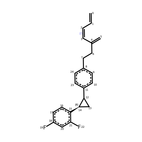 C=C/C=C\C(=C)CCc1ccc(C2C[C@H]2c2ccc(F)cc2F)cc1